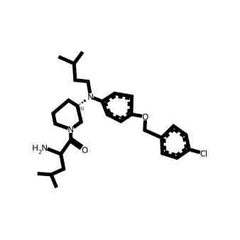 CC(C)CCN(c1ccc(OCc2ccc(Cl)cc2)cc1)[C@H]1CCCN(C(=O)C(N)CC(C)C)C1